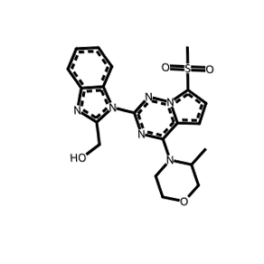 CC1COCCN1c1nc(-n2c(CO)nc3ccccc32)nn2c(S(C)(=O)=O)ccc12